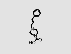 O=C(O)N1CCN(CC=Cc2ccccc2)CC1